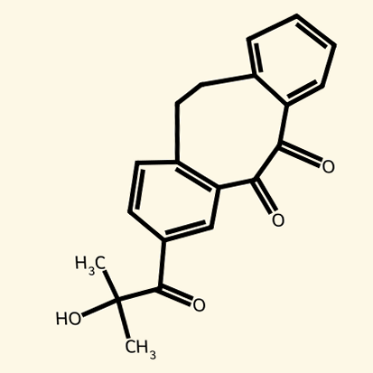 CC(C)(O)C(=O)c1ccc2c(c1)C(=O)C(=O)c1ccccc1CC2